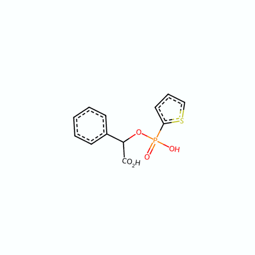 O=C(O)C(OP(=O)(O)c1cccs1)c1ccccc1